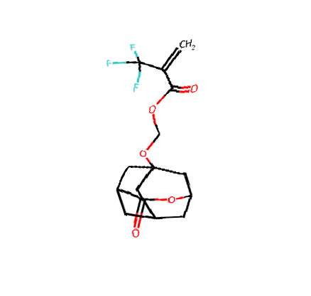 C=C(C(=O)OCOC12CC3CC(C1)OC(=O)C(C3)C2)C(F)(F)F